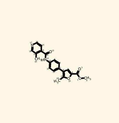 COC(=O)c1cc(-c2ccc(NC(=O)c3ccncc3C)cc2)c(C)o1